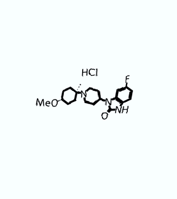 CO[C@H]1CC[C@](C)(N2CCC(n3c(=O)[nH]c4ccc(F)cc43)CC2)CC1.Cl